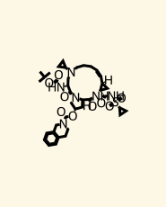 CC(C)(C)OC(=O)N[C@H]1CN(C2CC2)CCC/C=C\[C@H]2C[C@@]2(C(=O)NS(=O)(=O)C2CC2)NC(=O)[C@@H]2C[C@@H](OC(=O)N3CCc4ccccc4C3)CN2C1=O